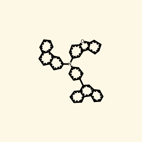 c1ccc2c(c1)ccc1ccc(N(c3ccc(-c4cc5ccccc5c5ccccc45)cc3)c3ccc4oc5ccccc5c4c3)cc12